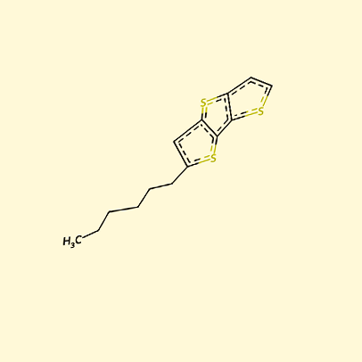 CCCCCCc1cc2sc3ccsc3c2s1